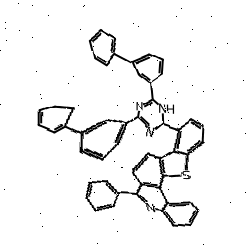 C1=CCCC(c2cccc(C3=NC(c4cccc5sc6c(ccc7c(-c8ccccc8)nc8ccccc8c76)c45)NC(c4cccc(-c5ccccc5)c4)=N3)c2)=C1